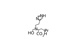 CC(C)CC(C(=O)O)N(CO)CCc1c[nH]cn1